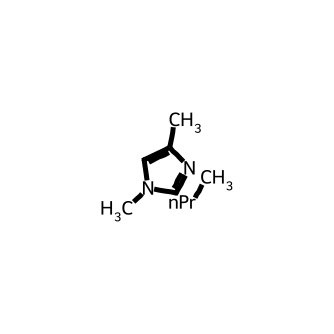 CCCC.Cc1cn(C)cn1